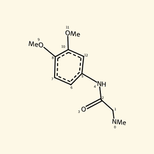 CNCC(=O)Nc1ccc(OC)c(OC)c1